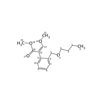 CCCCOCc1ccccc1C(=COC)C(=O)OC